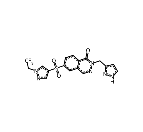 O=c1c2ccc(S(=O)(=O)c3cnn(CC(F)(F)F)c3)cc2cnn1Cc1cc[nH]n1